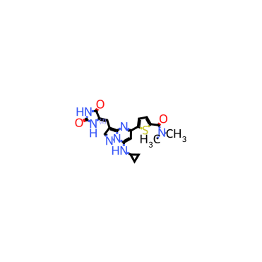 CN(C)C(=O)c1ccc(-c2cc(NC3CC3)n3ncc(/C=C4\NC(=O)NC4=O)c3n2)s1